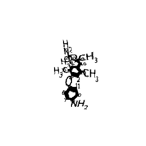 Cc1cc(Oc2ccc(N)cc2)c(C)cc1CC(C)(C)OC(N)=O